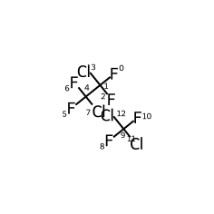 FC(F)(Cl)C(F)(F)Cl.FC(F)(Cl)Cl